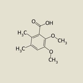 COc1cc(C)c(C)c(C(=O)O)c1OC